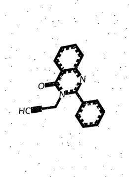 C#CCn1c(-c2ccccc2)nc2ccccc2c1=O